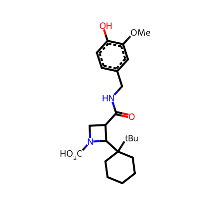 COc1cc(CNC(=O)C2CN(C(=O)O)C2C2(C(C)(C)C)CCCCC2)ccc1O